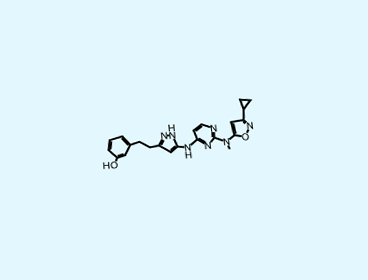 CN(c1nccc(Nc2cc(CCc3cccc(O)c3)n[nH]2)n1)c1cc(C2CC2)no1